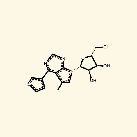 Cc1cn([C@@H]2O[C@H](CO)[C@@H](O)[C@H]2O)c2ncnc(-c3ccsc3)c12